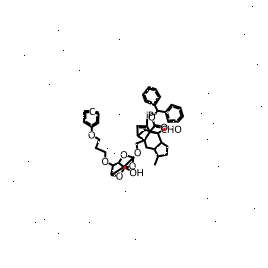 CC(C)C1=CC2CC3(C=O)C4CCC(C)C4CC2(COC24OC5OC(C(OCCCOc6ccccc6)C5O2)C4O)C13C(=O)OC(c1ccccc1)c1ccccc1